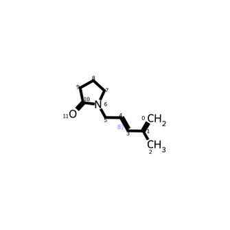 C=C(C)/C=C/CN1CCCC1=O